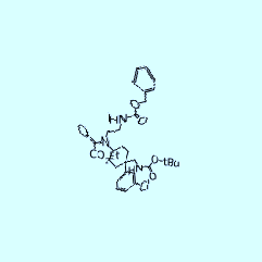 CCOC(=O)C(=O)N(CCNC(=O)OCc1ccccc1)C1CCC(CNC(=O)OC(C)(C)C)(c2cccc(Cl)c2)CC1